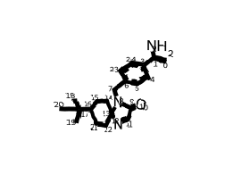 C=C(N)c1ccc(CN2C(=O)C=NC23CCC(C(C)(C)C)CC3)cc1